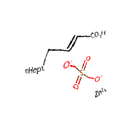 CCCCCCCCC=CC(=O)O.O=S(=O)([O-])[O-].[Zn+2]